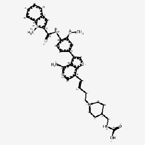 COc1cc(-c2csc3c(C=CCCN4CCC(CNC(=O)O)CC4)cnc(N)c23)ccc1NC(=O)c1cc2ccccc2n1C